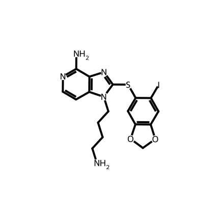 NCCCCn1c(Sc2cc3c(cc2I)OCO3)nc2c(N)nccc21